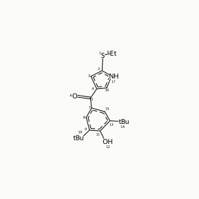 CCSc1cc(C(=O)c2cc(C(C)(C)C)c(O)c(C(C)(C)C)c2)c[nH]1